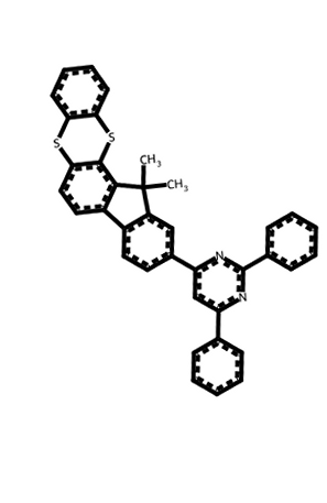 CC1(C)c2cc(-c3cc(-c4ccccc4)nc(-c4ccccc4)n3)ccc2-c2ccc3c(c21)Sc1ccccc1S3